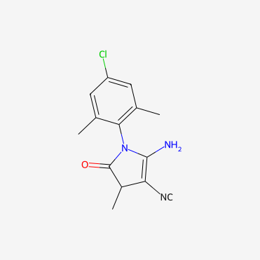 [C-]#[N+]C1=C(N)N(c2c(C)cc(Cl)cc2C)C(=O)C1C